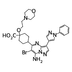 Nc1c(Br)c(C2CCC(OCCN3CCOCC3)(C(=O)O)CC2)nc2c(-c3cnn(-c4ccccc4)c3)cnn12